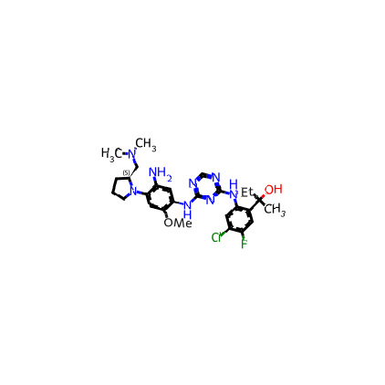 CCC(C)(O)c1cc(F)c(Cl)cc1Nc1ncnc(Nc2cc(N)c(N3CCC[C@H]3CN(C)C)cc2OC)n1